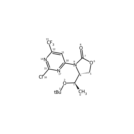 C[C@@H](OC(C)(C)C)[C@H]1COC(=O)N1c1cc(C(F)(F)F)nc(Cl)n1